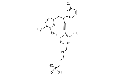 Cc1ccc(CC(C#Cc2ccc(CNCCCP(=O)(O)O)cc2C)c2cccc(Cl)c2)cc1C